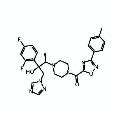 Cc1ccc(-c2noc(C(=O)N3CCN([C@H](C)[C@](O)(Cn4cncn4)c4ccc(F)cc4F)CC3)n2)cc1